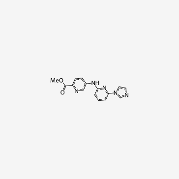 COC(=O)c1ccc(Nc2cccc(-n3ccnc3)n2)cn1